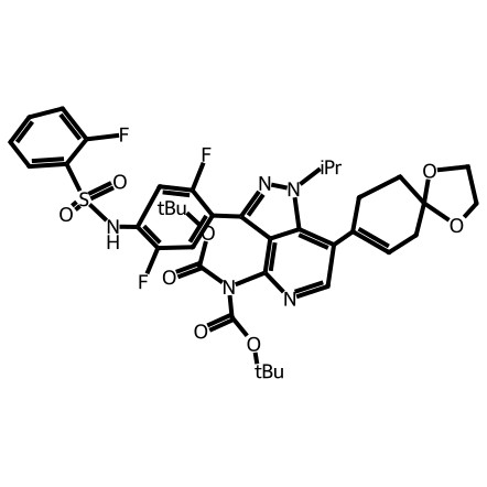 CC(C)n1nc(-c2cc(F)c(NS(=O)(=O)c3ccccc3F)cc2F)c2c(N(C(=O)OC(C)(C)C)C(=O)OC(C)(C)C)ncc(C3=CCC4(CC3)OCCO4)c21